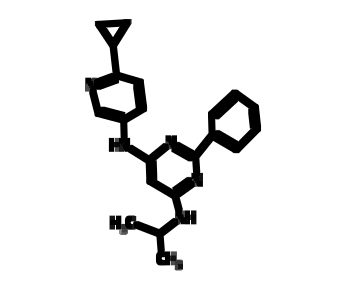 CC(C)Nc1cc(Nc2ccc(C3CC3)nc2)nc(-c2ccccc2)n1